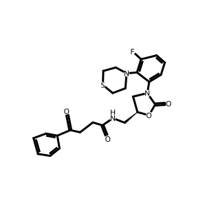 O=C(CCC(=O)c1ccccc1)NC[C@H]1CN(c2cccc(F)c2N2CCSCC2)C(=O)O1